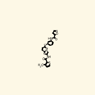 Cc1ccsc1C(=O)Nc1cn2nc(Oc3cccc(NC(=O)c4ccno4)c3)ccc2n1